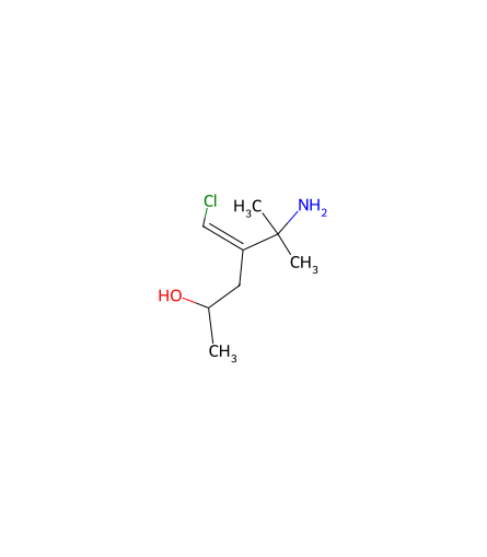 CC(O)CC(=CCl)C(C)(C)N